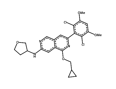 COc1cc(OC)c(Cl)c(-c2cc3cnc(NC4CCOC4)cc3c(OCC3CC3)n2)c1Cl